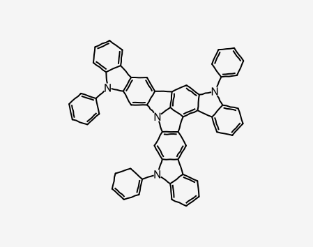 C1=CCCC(n2c3ccccc3c3cc4c5c6c7ccccc7n(-c7ccccc7)c6cc6c7cc8c9ccccc9n(-c9ccccc9)c8cc7n(c4cc32)c65)=C1